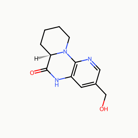 O=C1Nc2cc(CO)cnc2N2CCCC[C@H]12